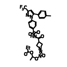 CCC(=O)OC(C)On1on1N1CC(C(=O)NS(=O)(=O)c2ccc(-n3nc(C(F)(F)F)cc3-c3ccc(C)cc3)cc2)C1